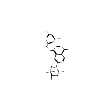 Cc1nnc(N[C@H](C)c2cc(N)cc(C(F)(F)F)n2)c2cc(N3C[C@H]4CC[C@@H]3CN4C)ncc12